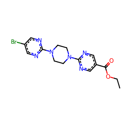 CCOC(=O)c1cnc(N2CCN(c3ncc(Br)cn3)CC2)nc1